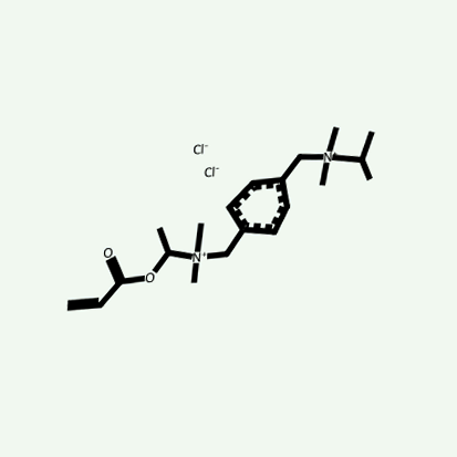 C=CC(=O)OC(C)[N+](C)(C)Cc1ccc(C[N+](C)(C)C(C)C)cc1.[Cl-].[Cl-]